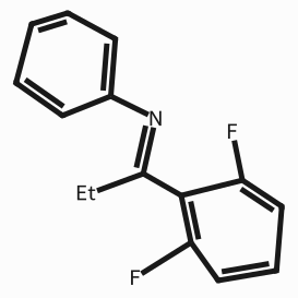 CC/C(=N\c1ccccc1)c1c(F)cccc1F